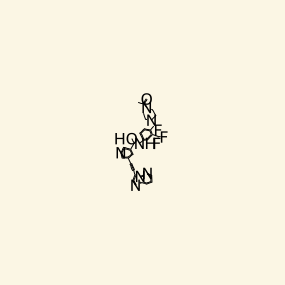 CC(=O)N1CCN(Cc2ccc(NC(O)c3cncc(C#Cc4cnc5cccnn45)c3)cc2C(F)(F)F)CC1